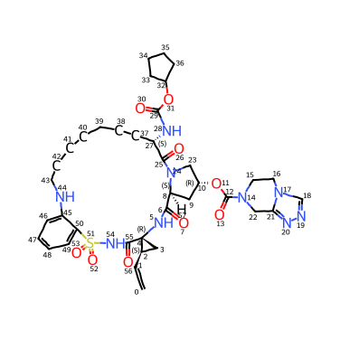 C=C[C@@H]1C[C@@]12NC(=O)[C@@H]1C[C@@H](OC(=O)N3CCn4cnnc4C3)CN1C(=O)[C@@H](NC(=O)OC1CCCC1)CCCCCCCNc1ccccc1S(=O)(=O)NC2=O